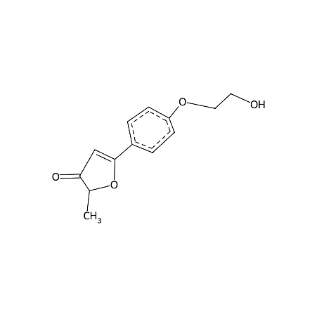 CC1OC(c2ccc(OCCO)cc2)=CC1=O